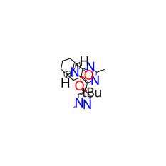 Cc1nc(-c2cnn(C)c2)c2c(n1)[C@H]1CCC[C@@H](C2)N1C(=O)OC(C)(C)C